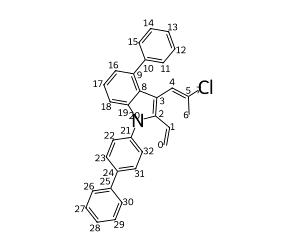 C=Cc1c(/C=C(\C)Cl)c2c(-c3ccccc3)cccc2n1-c1ccc(-c2ccccc2)cc1